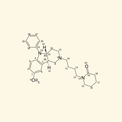 Cc1ccc2c(c1)[C@@H]1CN(CCCCN3CCCCC3=O)CC[C@H]1N2c1ccccc1